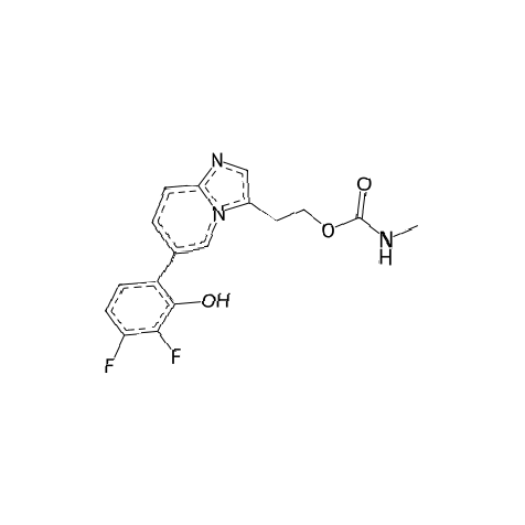 CNC(=O)OCCc1cnc2ccc(-c3ccc(F)c(F)c3O)cn12